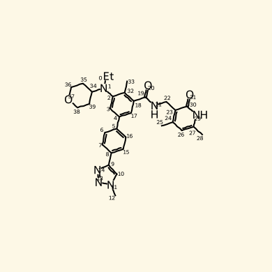 CCN(c1cc(-c2ccc(-c3cn(C)nn3)cc2)cc(C(=O)NCc2c(C)cc(C)[nH]c2=O)c1C)C1CCOCC1